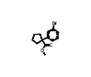 COC(=O)C1(c2cccc(Br)c2)CCCC1